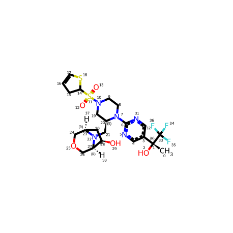 C[C@@](O)(c1cnc(N2CCN(S(=O)(=O)C3CC=CS3)C[C@@H]2CN2[C@H]3COC[C@@H]2[C@H](O)C3)nc1)C(F)(F)F